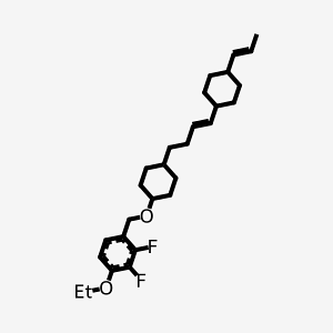 C/C=C/C1CCC(/C=C/CCC2CCC(OCc3ccc(OCC)c(F)c3F)CC2)CC1